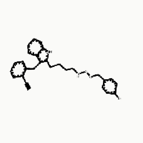 C#Cc1ccccc1Cc1c(CCCCNOOCc2ccc(Br)cc2)[nH]c2ccccc12